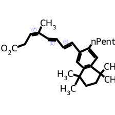 CCCCCc1cc2c(cc1/C=C/C=C/C(C)=C\CC(=O)O)C(C)(C)CCC2(C)C